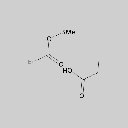 CCC(=O)O.CCC(=O)OSC